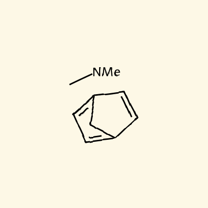 C1=CC2=CC=C1C2.CNC